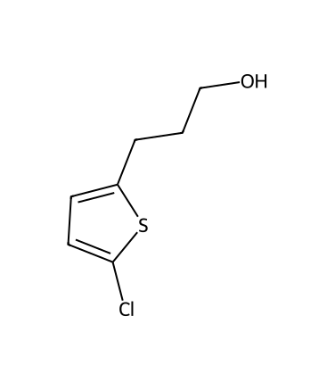 OCCCc1ccc(Cl)s1